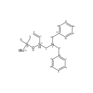 C=C[SiH](CN(Cc1ccccc1)Cc1ccccc1)O[Si](C)(C)C(C)(C)C